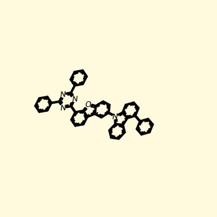 c1ccc(-c2nc(-c3ccccc3)nc(-c3cccc4c3oc3ccc(-n5c6ccccc6c6c(-c7ccccc7)cccc65)cc34)n2)cc1